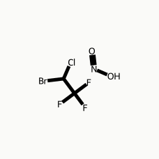 FC(F)(F)C(Cl)Br.O=NO